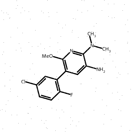 COc1nc(N(C)C)c(N)cc1-c1cc(Cl)ccc1F